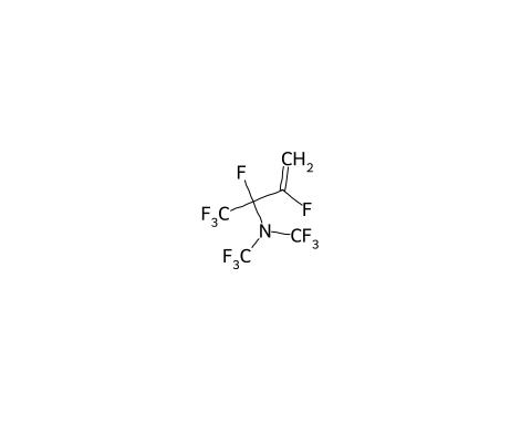 C=C(F)C(F)(N(C(F)(F)F)C(F)(F)F)C(F)(F)F